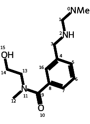 CNCNCc1cccc(C(=O)N(C)CCO)c1